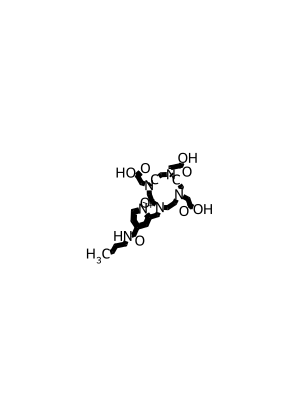 CCCCNC(=O)c1cc[n+]([O-])c(CN2CCN(CC(=O)O)CCN(CC(=O)O)CCN(CC(=O)O)CC2)c1